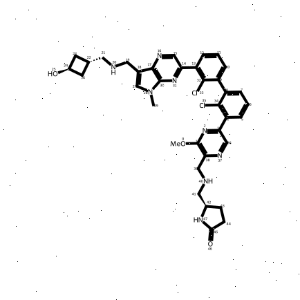 COc1nc(-c2cccc(-c3cccc(-c4cnc5c(CNC[C@H]6C[C@H](O)C6)cn(C)c5n4)c3Cl)c2Cl)cnc1CNC[C@H]1CCC(=O)N1